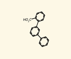 O=C(O)c1ccccc1-c1cccc(-c2ccccc2)c1